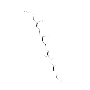 COCC/C(C)=C/CC/C(C)=C/CC/C=C(\C)CC/C=C(\C)CCC=O